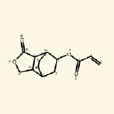 C=CC(=O)OC1CC2CCC1C1C(=O)OCC21